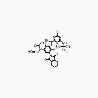 C#CCN1C(=O)COc2cc(F)c(N3C(=O)C4=C(CCCC4)C3=O)cc21.CCNc1nc(Cl)nc(NC(C)(C)C#N)n1